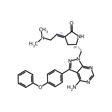 CN(C)C/C=C1\C[C@@H](Cn2nc(-c3ccc(Oc4ccccc4)cc3)c3c(N)ncnc32)NC1=O